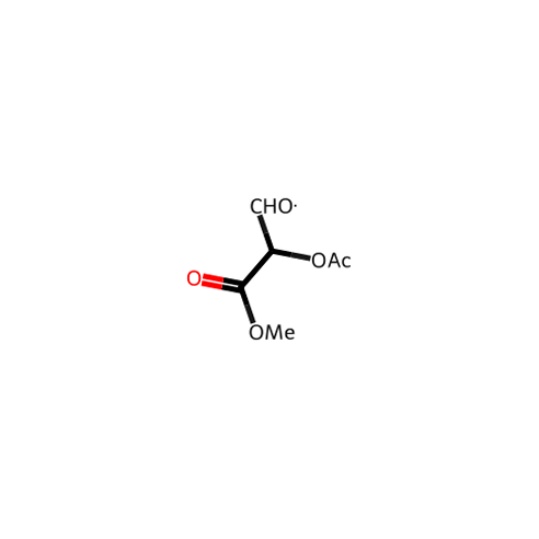 COC(=O)C([C]=O)OC(C)=O